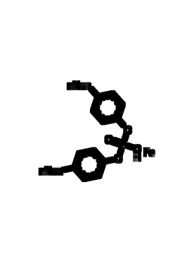 CCCCCCCCCc1ccc(OP(=O)(O)Oc2ccc(CCCCCCCCC)cc2)cc1.[Fe]